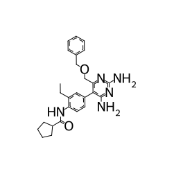 CCc1cc(-c2c(N)nc(N)nc2COCc2ccccc2)ccc1NC(=O)C1CCCC1